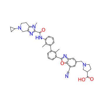 Cc1c(NC(=O)c2nc3c(n2C)CCN(C2CC2)C3)cccc1-c1cccc(-c2nc3cc(CN4CCC(C(=O)O)C4)cc(C#N)c3o2)c1C